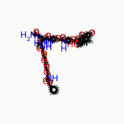 CC(C)[C@H](NC(=O)CCOCCOCCOCCOCCNC(=O)OCC1C2CCC#CCCC21)C(=O)N[C@@H](CCCNC(N)=O)C(=O)Nc1ccc(OCC(=O)Nc2ccc(OCC(=O)[C@@]3(O)[C@H](C)C[C@H]4C5C[C@H](F)C6=CC(=O)C=C[C@]6(C)[C@@]5(F)C(=O)C[C@@]43C)cc2)cc1